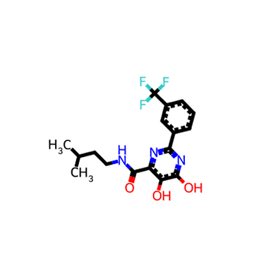 CC(C)CCNC(=O)c1nc(-c2cccc(C(F)(F)F)c2)nc(O)c1O